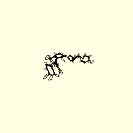 O=C1CCN(CC2CN(c3ccc4c(c3)C(=O)N(C3CCC(=O)NC3=O)C4=O)C2)CC1